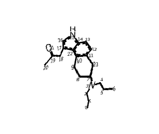 CCCN(CCC)C1CCc2c(ccc3[nH]cc(CC(C)=O)c23)C1